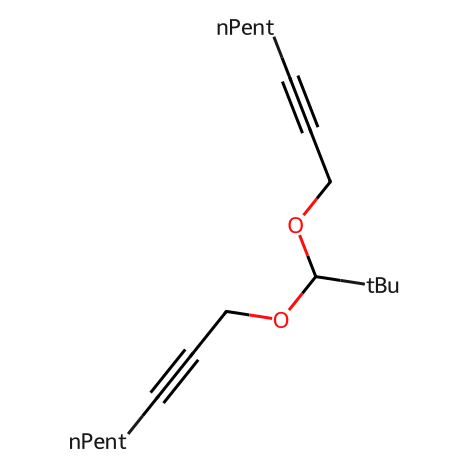 CCCCCC#CCOC(OCC#CCCCCC)C(C)(C)C